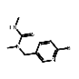 CNC(=S)N(C)Cc1ccc(Br)nc1